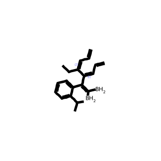 BC(B)=C(C(=C/C=C)/C(=C\C=C)CC)c1ccccc1C(C)C